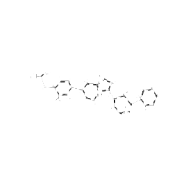 O=C(O)Cc1ccc(-c2ccn3c(-c4ccnc(-c5ccccc5)c4)cnc3c2)cc1F